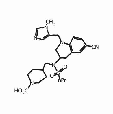 CCCS(=O)(=O)N(CC1CCN(C(=O)O)CC1)C1Cc2cc(C#N)ccc2N(Cc2cncn2C)C1